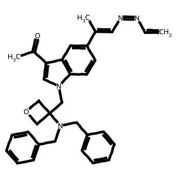 C=C/N=N\C=C(/C)c1ccc2c(c1)c(C(C)=O)cn2CC1(N(Cc2ccccc2)Cc2ccccc2)COC1